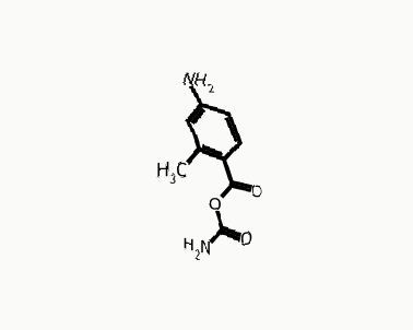 Cc1cc(N)ccc1C(=O)OC(N)=O